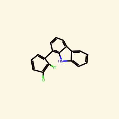 Clc1cccc(-c2cccc3c2[nH]c2ccccc23)c1Cl